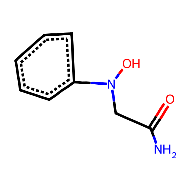 NC(=O)CN(O)c1ccccc1